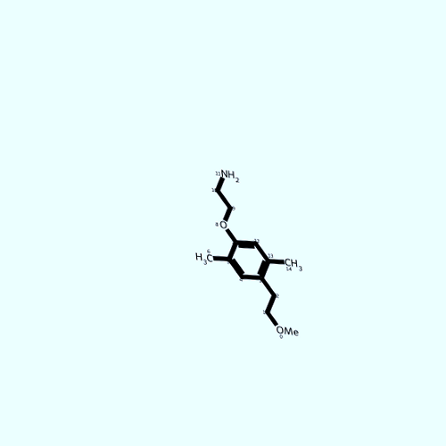 COCCc1cc(C)c(OCCN)cc1C